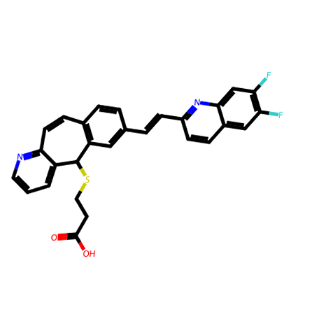 O=C(O)CCSC1c2cc(/C=C/c3ccc4cc(F)c(F)cc4n3)ccc2C=Cc2ncccc21